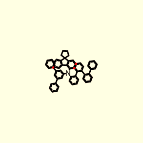 c1ccc(-c2cc(-c3ccccc3)cc(N(c3ccccc3-c3ccccc3-c3ccccc3-c3ccccc3)c3cccc4c3-c3ccccc3C43CCCC3)c2)cc1